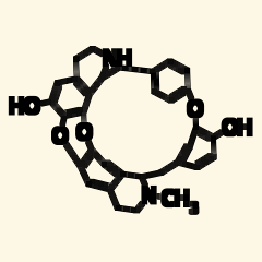 CN1CCc2cc3c4cc2C1Cc1ccc(O)c(c1)Oc1ccc(cc1)CC1NCCc2cc(O)c(c(c21)O4)O3